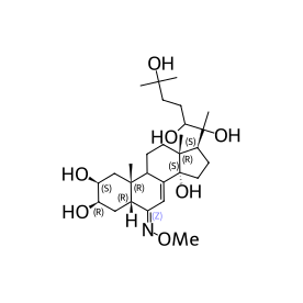 CO/N=C1\C=C2C(CC[C@]3(C)[C@@H](C(C)(O)C(O)CCC(C)(C)O)CC[C@@]23O)[C@@]2(C)C[C@H](O)[C@H](O)C[C@@H]12